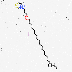 CCCCCCCCCCCCCCCCCCOCCC[n+]1ccsc1.[I-]